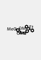 CC/C(=C(\c1ccccc1)c1ccc(OCCN(C)Cc2c(OC)cc(OC)cc2OC)cc1)c1ccccc1